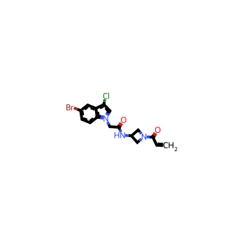 C=CC(=O)N1CC(NC(=O)Cn2cc(Cl)c3cc(Br)ccc32)C1